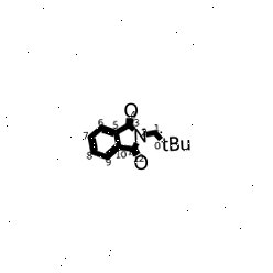 CC(C)(C)[CH]N1C(=O)c2ccccc2C1=O